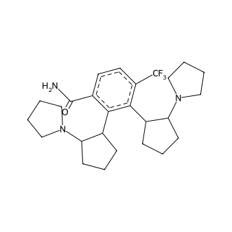 NC(=O)c1ccc(C(F)(F)F)c(C2CCCC2N2CCCC2)c1C1CCCC1N1CCCC1